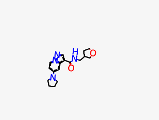 O=C(NCC1CCOC1)c1cnn2ccc(N3CCCC3)cc12